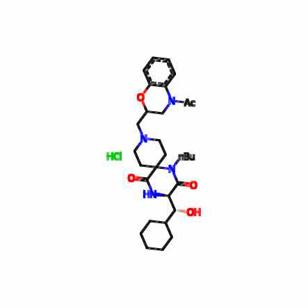 CCCCN1C(=O)[C@@H]([C@H](O)C2CCCCC2)NC(=O)C12CCN(CC1CN(C(C)=O)c3ccccc3O1)CC2.Cl